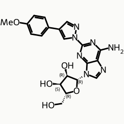 COc1ccc(-c2cnn(-c3nc(N)c4ncn([C@@H]5O[C@H](CO)[C@@H](O)[C@H]5O)c4n3)c2)cc1